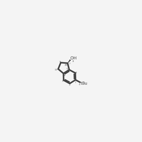 CC(C)(C)c1ccc2c(c1)[C@H](O)CC2